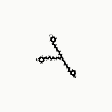 C(CCCCC1CCC2OC2C1)CCCC(CCCCCCCCC1CCC2OC2C1)CCCCCCCCC1CCC2OC2C1